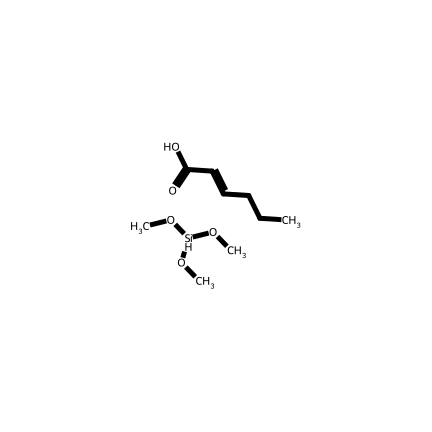 CCCC=CC(=O)O.CO[SiH](OC)OC